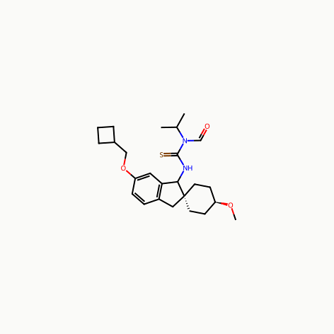 CO[C@H]1CC[C@]2(CC1)Cc1ccc(OCC3CCC3)cc1C2NC(=S)N(C=O)C(C)C